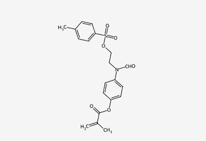 C=C(C)C(=O)Oc1ccc(N(C=O)CCOS(=O)(=O)c2ccc(C)cc2)cc1